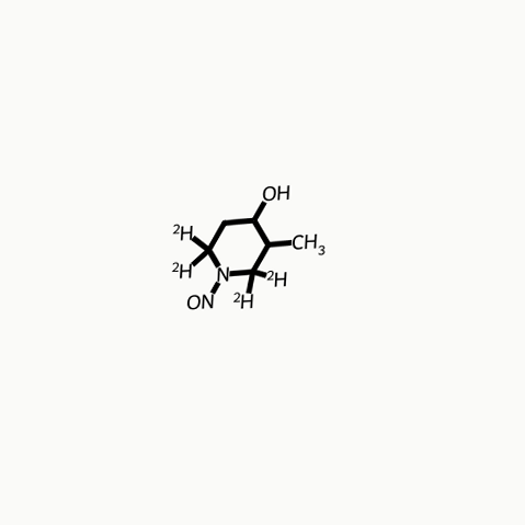 [2H]C1([2H])CC(O)C(C)C([2H])([2H])N1N=O